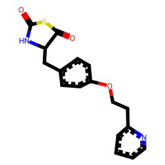 O=C1NC(Cc2ccc(OCCc3ccccn3)cc2)C(=O)S1